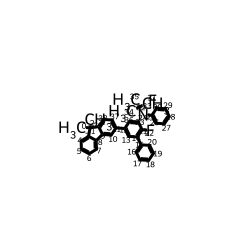 CC1(C)c2ccccc2-c2cc(-c3cc(-c4ccccc4)c(F)c(N(c4ccccc4F)C(C)(C)C)c3)ccc21